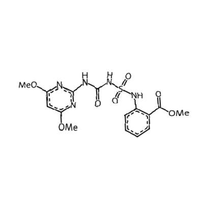 COC(=O)c1ccccc1NS(=O)(=O)NC(=O)Nc1nc(OC)cc(OC)n1